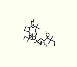 CCC(C)(C)BC1CCC1BC(C)(C)CCOC(C)(N)CCC(=O)C(C)(C)CC